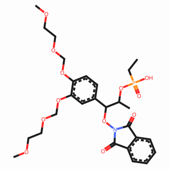 CCP(=O)(O)OC(C)C(ON1C(=O)c2ccccc2C1=O)c1ccc(OCOCCOC)c(OCOCCOC)c1